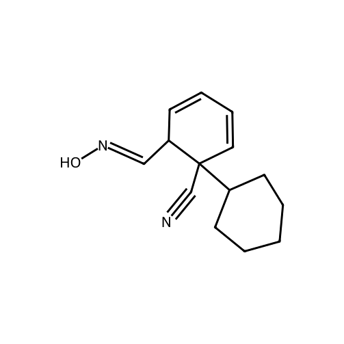 N#CC1(C2CCCCC2)C=CC=CC1C=NO